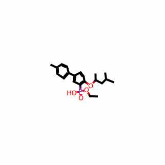 CCOP(=O)(O)c1cc(-c2ccc(C)cc2)ccc1OC(C)CC(C)C